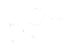 CCC(C)(C)SCC(O)C(=O)O